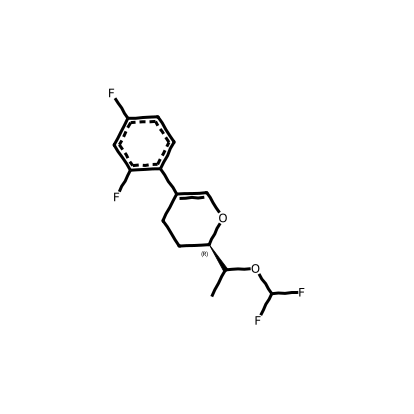 CC(OC(F)F)[C@H]1CCC(c2ccc(F)cc2F)=CO1